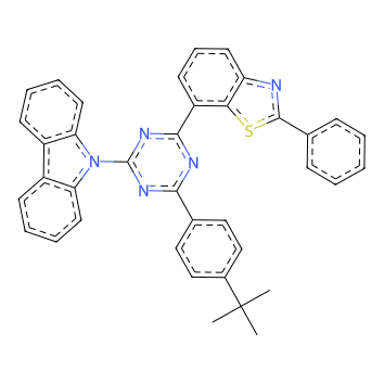 CC(C)(C)c1ccc(-c2nc(-c3cccc4nc(-c5ccccc5)sc34)nc(-n3c4ccccc4c4ccccc43)n2)cc1